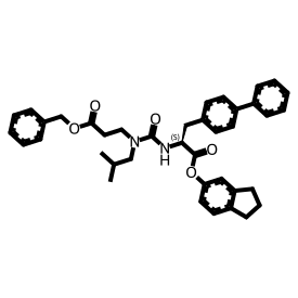 CC(C)CN(CCC(=O)OCc1ccccc1)C(=O)N[C@@H](Cc1ccc(-c2ccccc2)cc1)C(=O)Oc1ccc2c(c1)CCC2